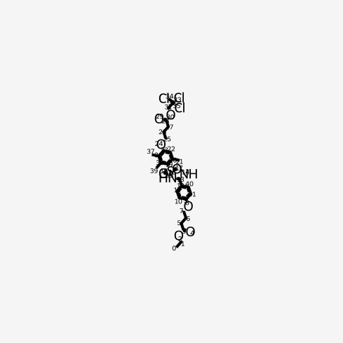 CCOC(=O)CCCOc1ccc(C(=N)NS(=O)(=O)c2c(C)cc(OCCCC(=O)OCC(Cl)(Cl)Cl)c(C)c2C)cc1